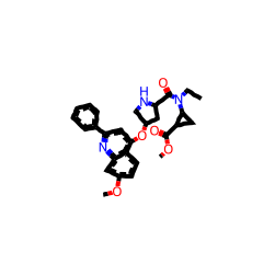 CCN(C(=O)C1CC(Oc2cc(-c3ccccc3)nc3cc(OC)ccc23)CN1)C1CC1C(=O)OC